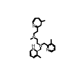 CC1=CC=CN=C(CCN(C)CCN(Cc2ncccc2C)C[C@@H]2NC=CC=C2C)C1